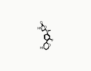 CN(c1ccc(C2CNCCO2)c(F)c1)C1CNC(=O)O1